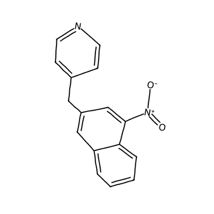 O=[N+]([O-])c1cc(Cc2ccncc2)cc2ccccc12